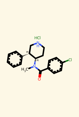 CN(C(=O)c1ccc(Cl)cc1)[C@@H]1CCNC[C@H]1c1ccccc1.Cl